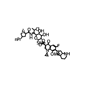 CCCC1CC(C(=O)N[C@H](C(C)Cl)C2OC(SC)C(OC(=O)c3cn(C4CC4)c4c(OC)c(N5CC6CCCNC6C5)c(F)cc4c3=O)C(O)C2O)N(C)C1